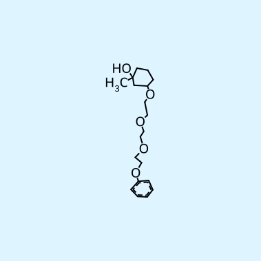 CC1(O)CCCC(OCCOCCOCCOc2ccccc2)C1